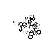 CCC[C@H](NC(=O)[C@@H]1C[C@@]2(CN1C(=O)[C@@H](NC(=O)[C@@H](NC(=O)[C@@H]1CCCCN1C(C)C)C1CCCCC1)C(C)(C)C)C(C)(C)C21CCC1)C(=O)C(=O)N1CCC1